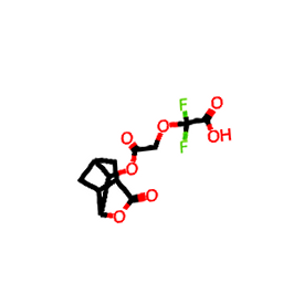 O=C(COC(F)(F)C(=O)O)OC1C2CC3C(=O)OC1C3C2